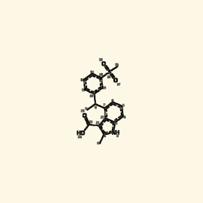 Cc1[nH]c2cccc(C(C)c3cccc(S(C)(=O)=O)c3)c2c1C(=O)O